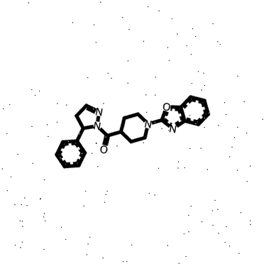 O=C(C1CCN(c2nc3ccccc3o2)CC1)N1N=CCC1c1ccccc1